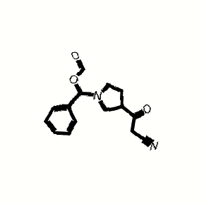 N#CCC(=O)C1CCN(C(OC=O)c2ccccc2)C1